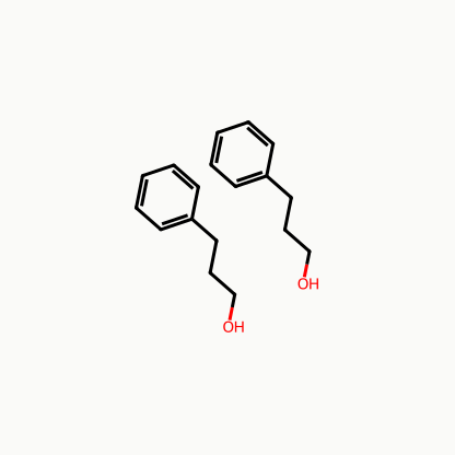 OCCCc1ccccc1.OCCCc1ccccc1